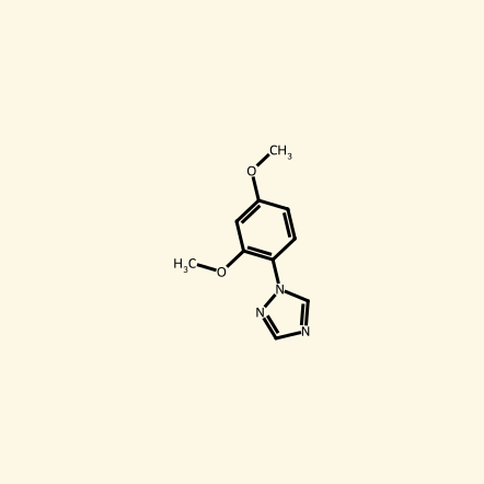 COc1ccc(-n2cncn2)c(OC)c1